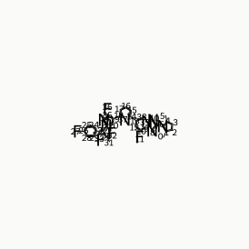 Cc1ccc(C)n1-c1nc2c(F)cc(-c3cccc(-c4cn(C(c5ccc(F)cc5)C(C)(F)F)nc4F)n3)cn2n1